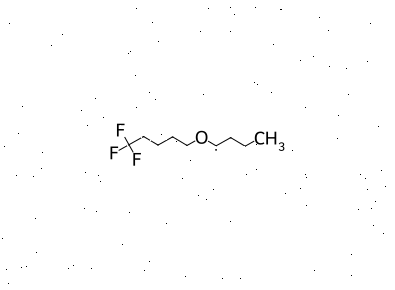 CCC[CH]OCCCCC(F)(F)F